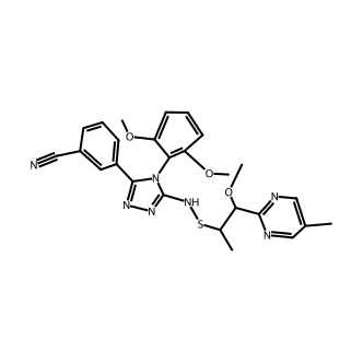 COc1cccc(OC)c1-n1c(NSC(C)C(OC)c2ncc(C)cn2)nnc1-c1cccc(C#N)c1